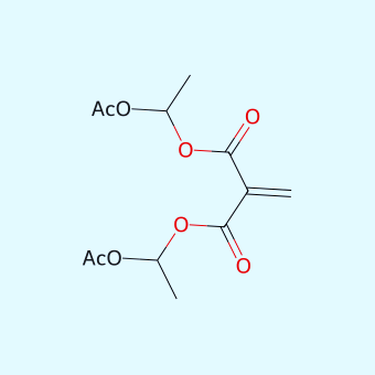 C=C(C(=O)OC(C)OC(C)=O)C(=O)OC(C)OC(C)=O